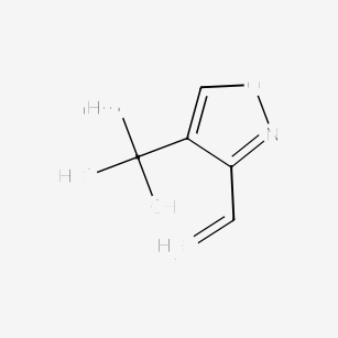 C=Cc1nocc1C(C)(C)CCCCCC